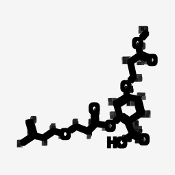 C=C(C)CCOCCC(=O)Oc1cc(OCCC(=O)OC)ccc1C(=O)O